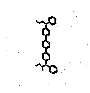 CCCN(c1ccccc1)c1ccc(-c2ccc(-c3ccc(N(c4ccccc4)C(C)CC)cc3)cc2)cc1